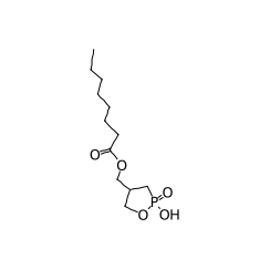 CCCCCCCC(=O)OCC1COP(=O)(O)C1